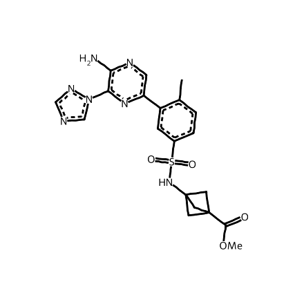 COC(=O)C12CC(NS(=O)(=O)c3ccc(C)c(-c4cnc(N)c(-n5cncn5)n4)c3)(C1)C2